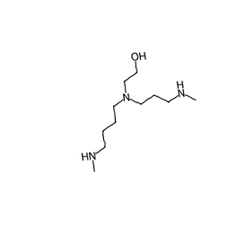 CNCCCCN(CCO)CCCNC